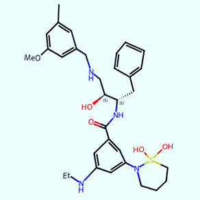 CCNc1cc(C(=O)N[C@@H](Cc2ccccc2)[C@@H](O)CNCc2cc(C)cc(OC)c2)cc(N2CCCCS2(O)O)c1